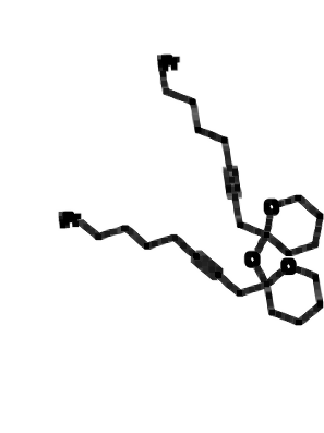 CC(C)CCCCC#CCC1(OC2(CC#CCCCCC(C)C)CCCCO2)CCCCO1